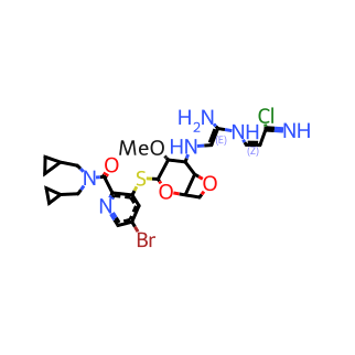 COC1C(Sc2cc(Br)cnc2C(=O)N(CC2CC2)CC2CC2)OC2COC2C1N/C=C(\N)N/C=C\C(=N)Cl